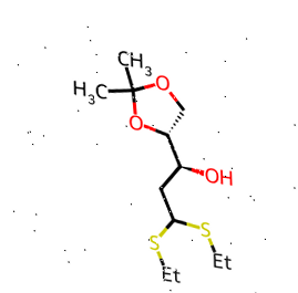 CCSC(C[C@H](O)[C@H]1COC(C)(C)O1)SCC